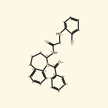 O=C(CNc1ccccc1Cl)NC1CCCc2ccccc2N1C(=O)c1ccccc1